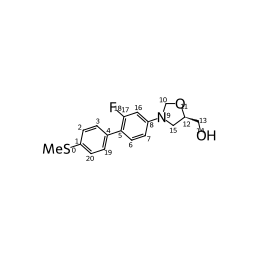 CSc1ccc(-c2ccc(N3CO[C@@H](CO)C3)cc2F)cc1